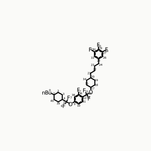 CCCCC1CCC(C(F)(F)Oc2ccc(C(F)(F)OC3CCC(CCCCc4cc(F)c(F)c(F)c4)CC3)c(F)c2)CC1